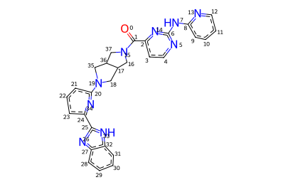 O=C(c1ccnc(Nc2ccccn2)n1)N1CC2CN(c3cccc(-c4nc5ccccc5[nH]4)n3)CC2C1